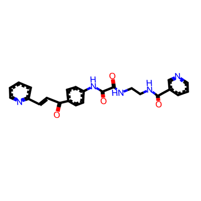 O=C(NCCNC(=O)c1cccnc1)C(=O)Nc1ccc(C(=O)C=Cc2ccccn2)cc1